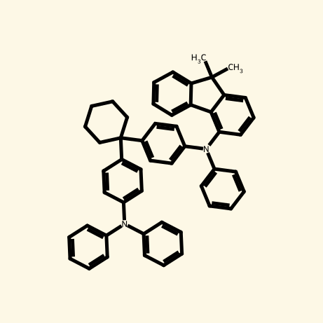 CC1(C)c2ccccc2-c2c(N(c3ccccc3)c3ccc(C4(c5ccc(N(c6ccccc6)c6ccccc6)cc5)CCCCC4)cc3)cccc21